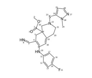 COC(=O)C12CC(C=N)=C(Nc3ccc(F)cc3)C=C1CCN(Sc1ccnn1C)C2